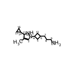 CC1=CN(C2CC(CCCN)C2)NC1C1CC1